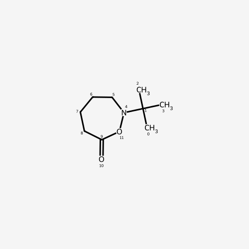 CC(C)(C)N1CCCCC(=O)O1